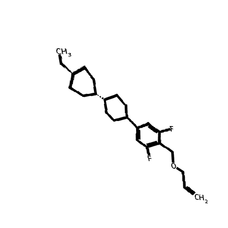 C=CCOCc1c(F)cc(C2CCC([C@H]3CC[C@H](CC)CC3)CC2)cc1F